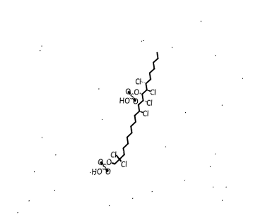 CCCCCC[C@@H](Cl)[C@@H](Cl)[C@@H](OS(=O)(=O)O)[C@H](Cl)C[C@@H](Cl)CCCCCCCCC(Cl)(Cl)COS(=O)(=O)O